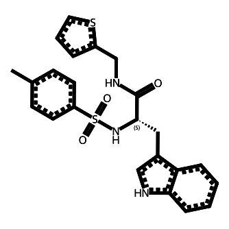 Cc1ccc(S(=O)(=O)N[C@@H](Cc2c[nH]c3ccccc23)C(=O)NCc2cccs2)cc1